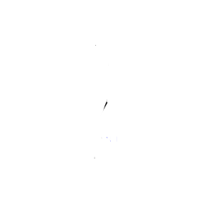 C=C(OCC)[C@@H]1CCCN1